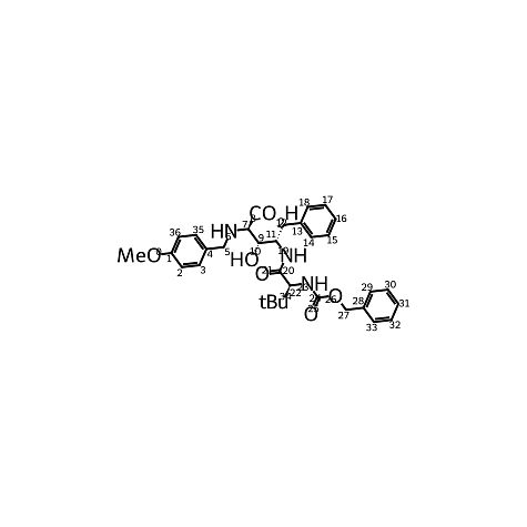 COc1ccc(CN[C@@H](C(=O)O)[C@@H](O)[C@H](Cc2ccccc2)NC(=O)[C@@H](NC(=O)OCc2ccccc2)C(C)(C)C)cc1